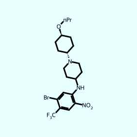 CCCO[C@H]1CC[C@H](N2CCC(Nc3cc(Br)c(C(F)(F)F)cc3[N+](=O)[O-])CC2)CC1